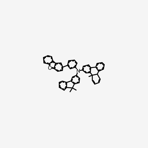 CC1(C)c2ccccc2-c2cc(N(c3cccc(-c4ccc5oc6ccccc6c5c4)c3)c3ccc4c(c3)C3(C)C=CC=CC3c3ccccc3-4)ccc21